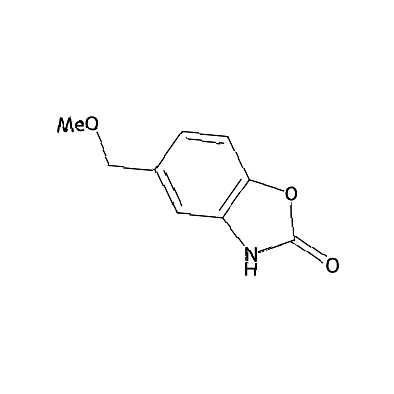 COCc1ccc2oc(=O)[nH]c2c1